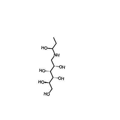 CCC(O)NC[C@H](O)[C@@H](O)[C@H](O)[C@H](O)CO